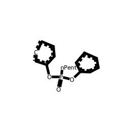 CCCCCP(=O)(Oc1ccccc1)Oc1ccccc1